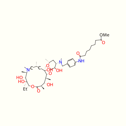 CC[C@H]1OC(=O)[C@H](C)[C@@H](O)[C@H](C)[C@@H](O[C@@H]2O[C@H](C)C[C@H](N(C)Cc3ccc(NC(=O)CCCCCCC(=O)OC)cc3)[C@H]2O)[C@](C)(O)C[C@@H](C)CN(C)[C@H](C)[C@@H](O)[C@]1(C)O